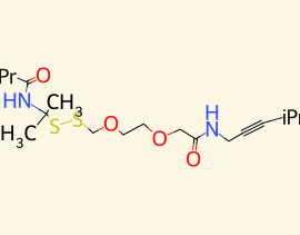 CC(C)C#CCNC(=O)COCCOCSSC(C)(C)NC(=O)C(C)C